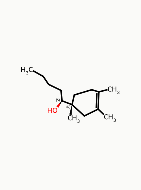 CCCC[C@H](O)[C@]1(C)CCC(C)=C(C)C1